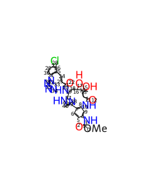 COC(=O)Nc1ccc2c(c1)NC(=O)CC(O)C(O)CC(NC(=O)C=Cc1cc(Cl)ccc1-n1cnnn1)c1nc-2c[nH]1